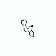 c1ccc2c(c1)ncc1c3ccccc3ncc21